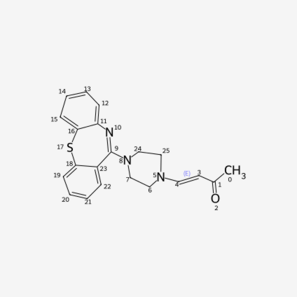 CC(=O)/C=C/N1CCN(C2=Nc3ccccc3Sc3ccccc32)CC1